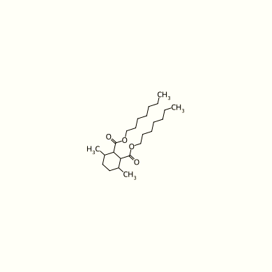 CCCCCCCOC(=O)C1C(C)CCC(C)C1C(=O)OCCCCCCC